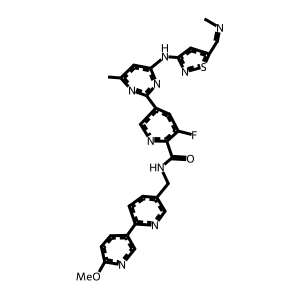 C/N=C\c1cc(Nc2cc(C)nc(-c3cnc(C(=O)NCc4ccc(-c5ccc(OC)nc5)nc4)c(F)c3)n2)ns1